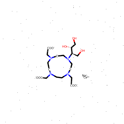 O=C([O-])CN1CCN(CC(=O)[O-])CCN([C@H](CO)[C@H](O)CO)CCN(CC(=O)[O-])CC1.[Ca+2].[Na+]